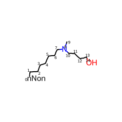 CCCCCCCCCCCCCCCCN(C)CCCCO